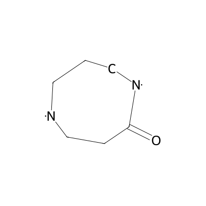 O=C1CC[N]CCC[N]1